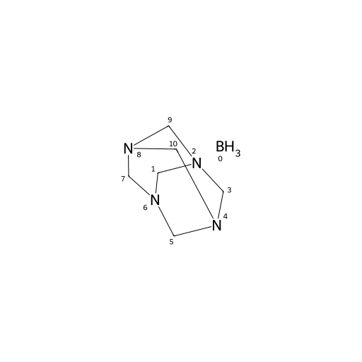 B.C1N2CN3CN1CN(C2)C3